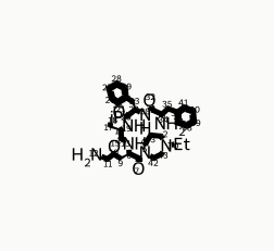 CCN1CCCN(C(=O)[C@@H](CCCN)NC(=O)[C@@H](CC(C)C)NC(=O)[C@@H](Cc2ccccc2)NC(=O)[C@H](N)Cc2ccccc2)CC1